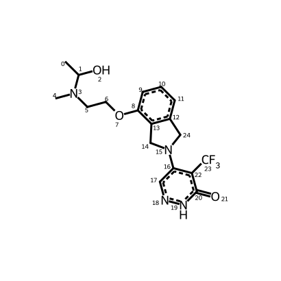 CC(O)N(C)CCOc1cccc2c1CN(c1cn[nH]c(=O)c1C(F)(F)F)C2